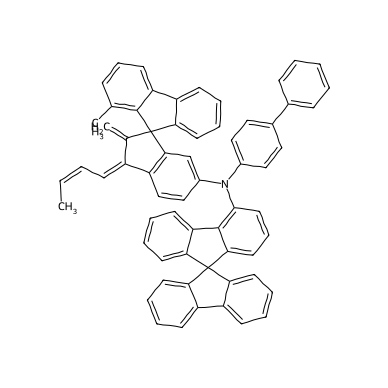 C=C1/C(=C\C=C/C)c2ccc(N(c3ccc(-c4ccccc4)cc3)c3cccc4c3-c3ccccc3C43c4ccccc4-c4ccccc43)cc2C12c1ccccc1-c1cccc(C)c12